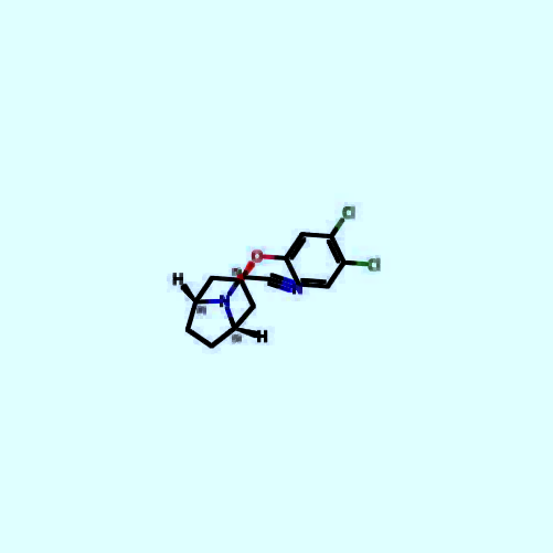 N#CCN1[C@@H]2CC[C@H]1C[C@H](Oc1ccc(Cl)c(Cl)c1)C2